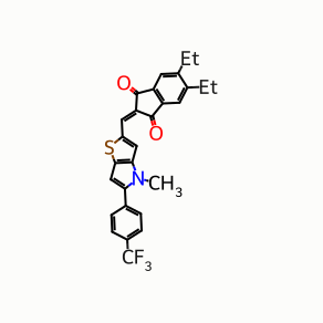 CCc1cc2c(cc1CC)C(=O)C(=Cc1cc3c(cc(-c4ccc(C(F)(F)F)cc4)n3C)s1)C2=O